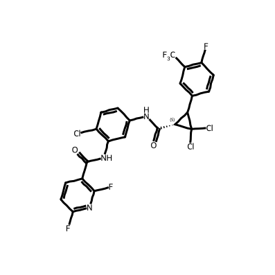 O=C(Nc1cc(NC(=O)[C@@H]2C(c3ccc(F)c(C(F)(F)F)c3)C2(Cl)Cl)ccc1Cl)c1ccc(F)nc1F